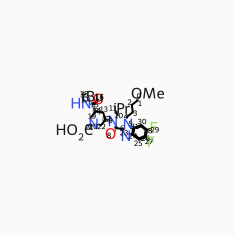 COCCCCn1c(C(=O)N(CC(C)C)[C@H]2C[C@@H](C(=O)NC(C)(C)C)CN(C(=O)O)C2)nc2cc(F)c(F)cc21